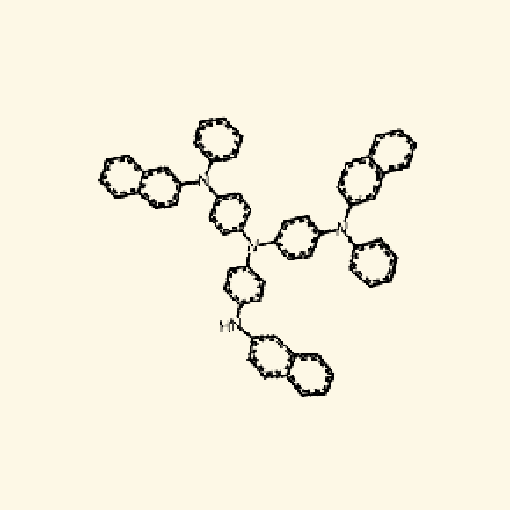 c1ccc(N(c2ccc(N(c3ccc(Nc4ccc5ccccc5c4)cc3)c3ccc(N(c4ccccc4)c4ccc5ccccc5c4)cc3)cc2)c2ccc3ccccc3c2)cc1